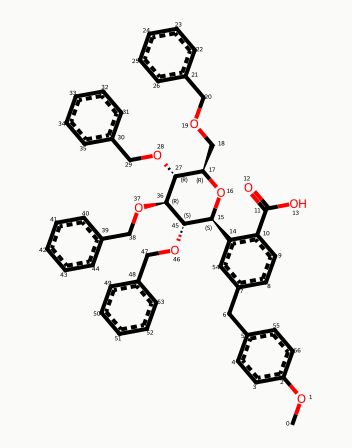 COc1ccc(Cc2ccc(C(=O)O)c([C@@H]3O[C@H](COCc4ccccc4)[C@@H](OCc4ccccc4)[C@H](OCc4ccccc4)[C@H]3OCc3ccccc3)c2)cc1